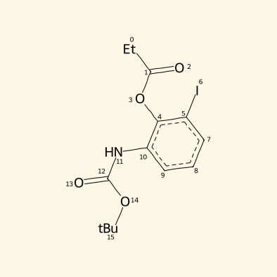 CCC(=O)Oc1c(I)cccc1NC(=O)OC(C)(C)C